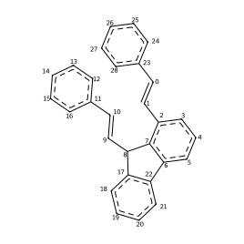 C(=Cc1cccc2c1C(C=Cc1ccccc1)c1ccccc1-2)c1ccccc1